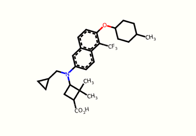 CC1CCC(Oc2ccc3cc(N(CC4CC4)C4CC(C(=O)O)C4(C)C)ccc3c2C(F)(F)F)CC1